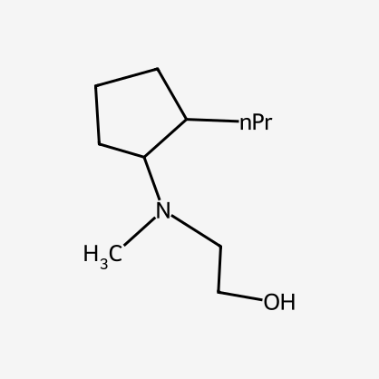 CCCC1CCCC1N(C)CCO